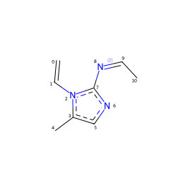 C=Cn1c(C)cnc1/N=C\C